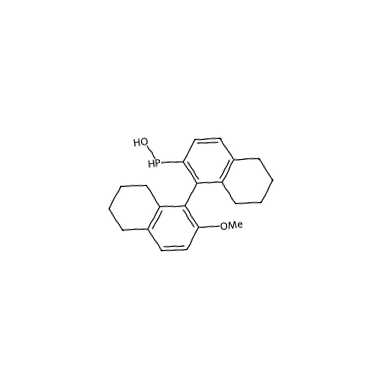 COc1ccc2c(c1-c1c(PO)ccc3c1CCCC3)CCCC2